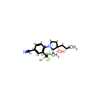 CCC[C@]1(O)CCN(c2ccc(C#N)cc2C(F)(F)F)[C@H]1C